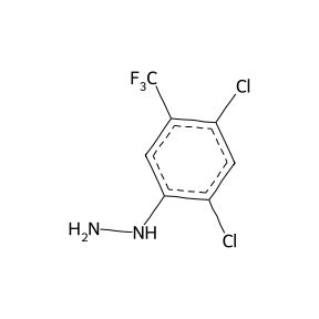 NNc1cc(C(F)(F)F)c(Cl)cc1Cl